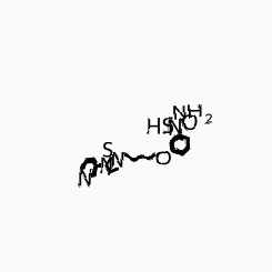 NC(=O)N(S)c1cccc(OCCCCCN2CCN(c3cccnc3)C2=S)c1